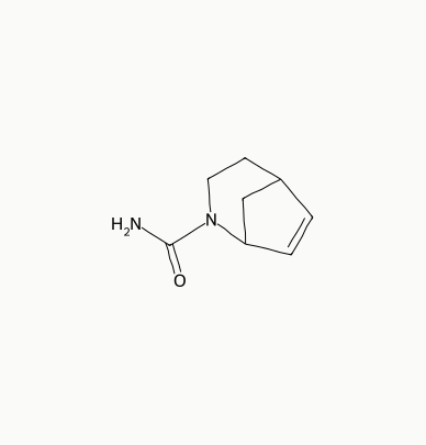 NC(=O)N1CCC2C=CC1C2